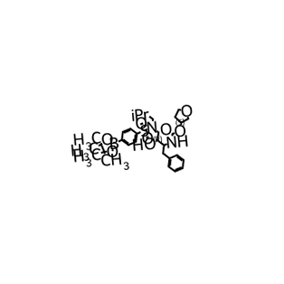 CC(C)CN(C[C@@H](O)C(Cc1ccccc1)NC(=O)O[C@H]1CCOC1)S(=O)(=O)c1ccc(B2OC(C)(C)C(C)(C)O2)cc1